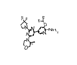 C[C@H]1COCCN1c1cc(-c2cnc(N)c(OC(F)F)c2)nc(N2CCC(F)(F)C2)n1